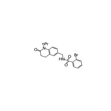 CCCN1C(=O)CCc2cc(CNS(=O)(=O)c3ccccc3Br)ccc21